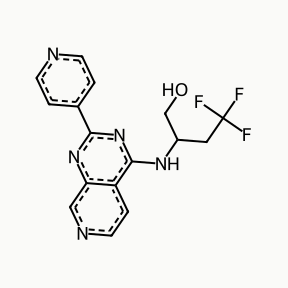 OCC(CC(F)(F)F)Nc1nc(-c2ccncc2)nc2cnccc12